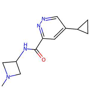 CC(C)N1CC(NC(=O)c2cc(C3CC3)cnn2)C1